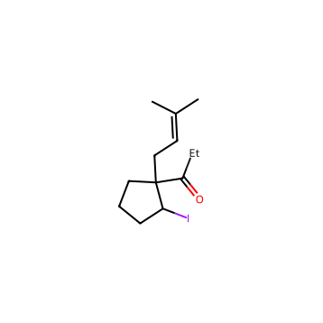 CCC(=O)C1(CC=C(C)C)CCCC1I